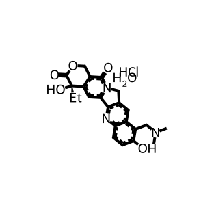 CC[C@@]1(O)C(=O)OCc2c1cc1n(c2=O)Cc2cc3c(CN(C)C)c(O)ccc3nc2-1.Cl.O